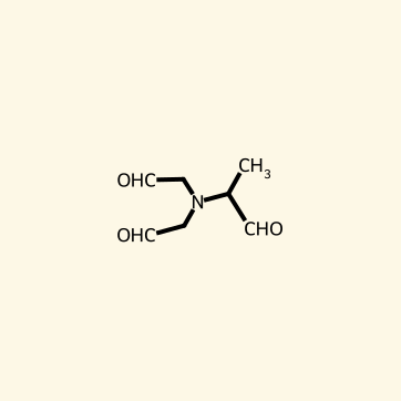 CC(C=O)N(CC=O)CC=O